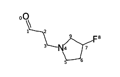 O=CCCN1CCC(F)C1